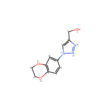 OCc1cn(-c2ccc3c(c2)OCCO3)nn1